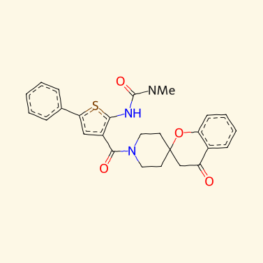 CNC(=O)Nc1sc(-c2ccccc2)cc1C(=O)N1CCC2(CC1)CC(=O)c1ccccc1O2